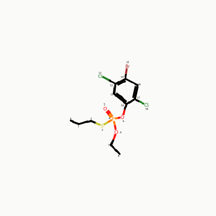 CCCSP(=O)(OCC)Oc1cc(Cl)c(Br)cc1Cl